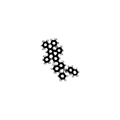 C1=Cc2ccc(N(c3ccccc3)c3ccc(-c4ccc5c(c4)c4ccccc4c4c(-c6ccccc6)c(-c6ccccc6)cc(-c6ccccc6)c54)c4ccccc34)cc2CC1